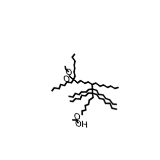 CC(=O)O.CCCCCCCC(CCCCC(CCCCCCC)(CCCCCCC)C(=O)OCC)C(CCCCCCC)(CCCCCCC)C(CCCCCCC)(CCCCCCC)CCCCCCC